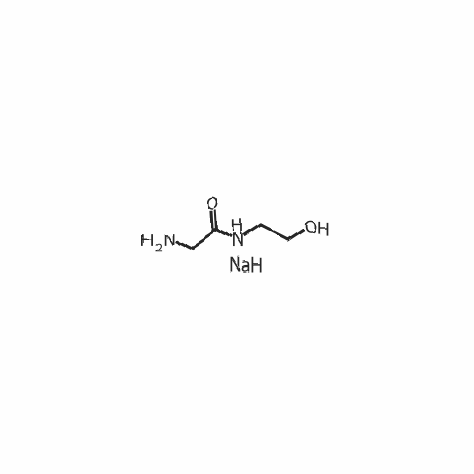 NCC(=O)NCCO.[NaH]